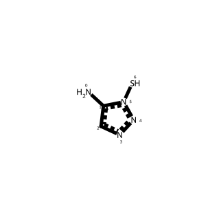 Nc1cnnn1S